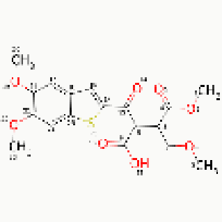 COCC(C(=O)OC)C(C(=O)O)C(=O)c1cc2cc(OC)c(OC)cc2s1